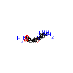 Cc1cc(S(N)(=O)=O)ccc1-c1cccc(CC(=O)NCc2ccc(C(=N)N)cc2)c1